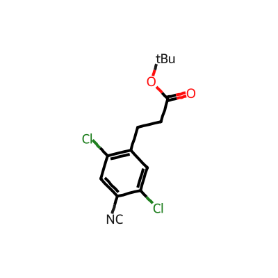 [C-]#[N+]c1cc(Cl)c(CCC(=O)OC(C)(C)C)cc1Cl